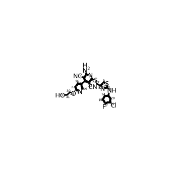 N#Cc1c(N)nc(SCc2csc(Nc3ccc(F)c(Cl)c3)n2)c(C#N)c1-c1ccc(OCCO)nc1